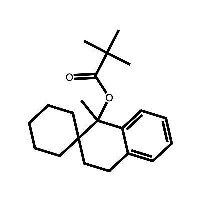 CC(C)(C)C(=O)OC1(C)c2ccccc2CCC12CCCCC2